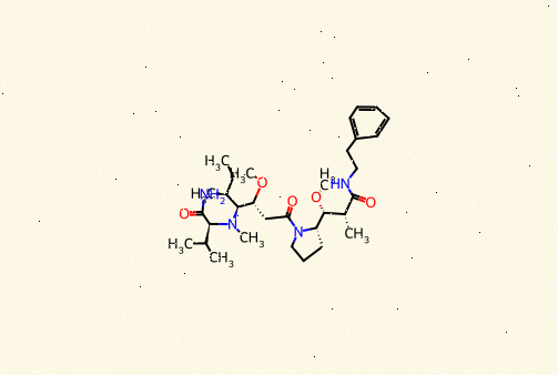 CC[C@H](C)[C@@H]([C@@H](CC(=O)N1CCC[C@H]1[C@H](OC)[C@@H](C)C(=O)NCCc1ccccc1)OC)N(C)[C@H](C(N)=O)C(C)C